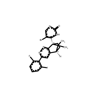 CC1(C)[C@H]2CC[C@]1(c1[nH]c(=O)ncc1Br)c1nnc(-c3c(F)cccc3F)cc12